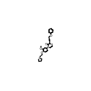 COc1cc(-n2ccnc(C#CCOc3ccccc3)c2=O)ccc1OCCN1CCCC1